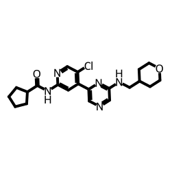 O=C(Nc1cc(-c2cncc(NCC3CCOCC3)n2)c(Cl)cn1)C1CCCC1